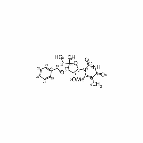 CO[C@H]1[C@H](n2cc(C)c(=O)[nH]c2=O)OC(O)(CO)[C@H]1OCc1ccccc1